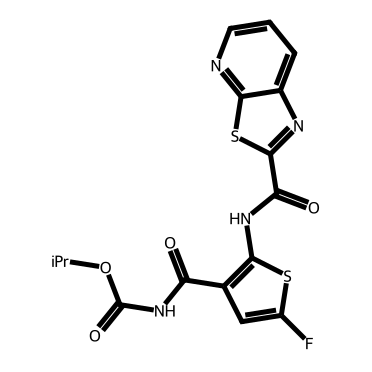 CC(C)OC(=O)NC(=O)c1cc(F)sc1NC(=O)c1nc2cccnc2s1